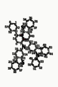 c1ccc(-c2ccc(N(c3ccc4c(c3)sc3ccccc34)c3cc4c(cc3-c3ccc5sc6ccccc6c5c3)c3ccccc3n4-c3ccccc3)cc2)cc1